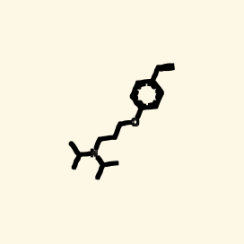 C=Cc1ccc(OCCCN(C(C)C)C(C)C)cc1